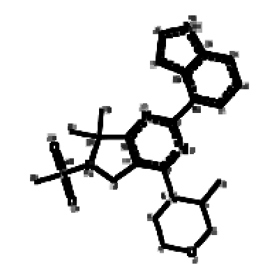 CC1COCCN1c1nc(-c2cccc3[nH]ccc23)nc2c1CN(S(C)(=O)=O)C2(C)C